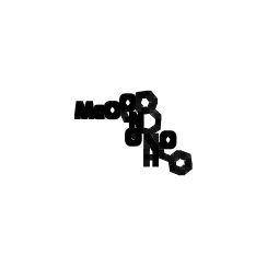 COC(=O)CN1C(=O)C(NC(=O)Cc2ccccc2)CCc2ccccc21